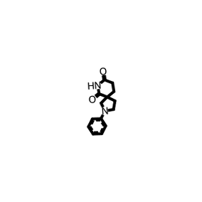 O=C1CCC2(CCN(c3ccccc3)C2)C(=O)N1